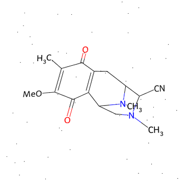 COC1=C(C)C(=O)C2=C(C1=O)C1CN(C)C(C#N)C(C2)N1C